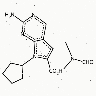 CN(C)C=O.Nc1ncc2cc(C(=O)O)n(C3CCCC3)c2n1